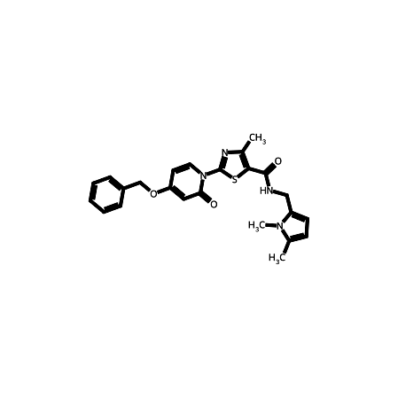 Cc1nc(-n2ccc(OCc3ccccc3)cc2=O)sc1C(=O)NCc1ccc(C)n1C